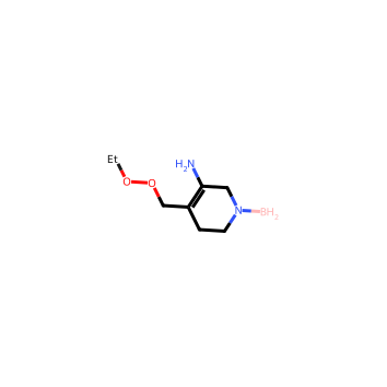 BN1CCC(COOCC)=C(N)C1